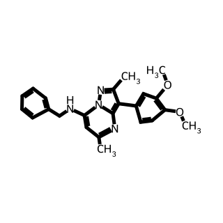 COc1ccc(-c2c(C)nn3c(NCc4ccccc4)cc(C)nc23)cc1OC